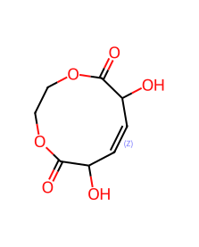 O=C1OCCOC(=O)C(O)/C=C\C1O